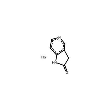 Br.O=C1Cc2cnccc2N1